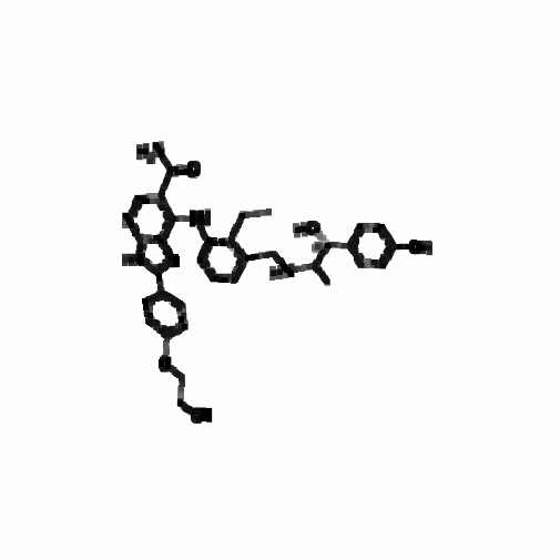 CCc1c(CNC(C)[C@H](O)c2ccc(O)cc2)cccc1Nc1c(C(N)=O)cnc2[nH]c(-c3ccc(OCCO)cc3)nc12